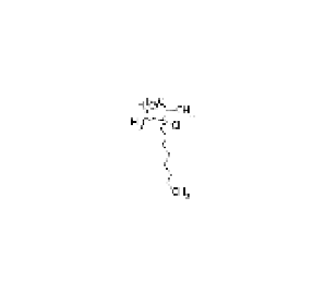 CCCCCCCC[Si](Cl)(C(C)C)C(C)C